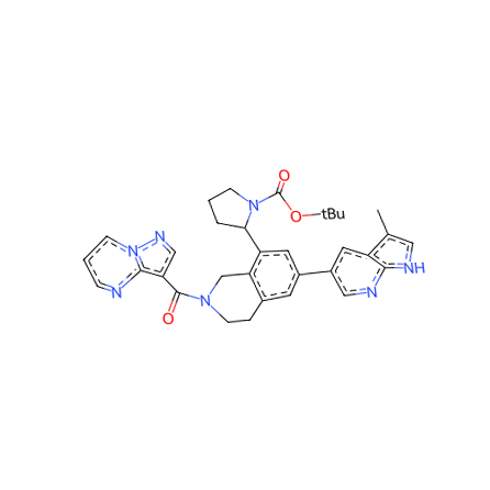 Cc1c[nH]c2ncc(-c3cc4c(c(C5CCCN5C(=O)OC(C)(C)C)c3)CN(C(=O)c3cnn5cccnc35)CC4)cc12